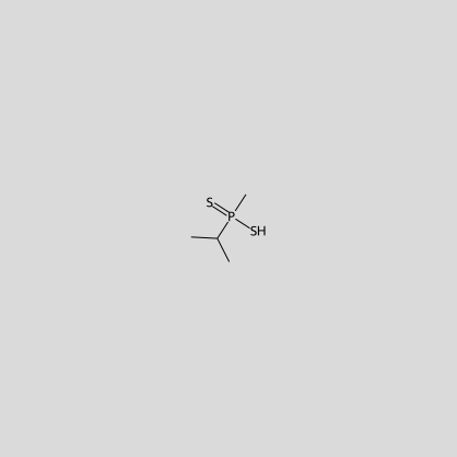 CC(C)P(C)(=S)S